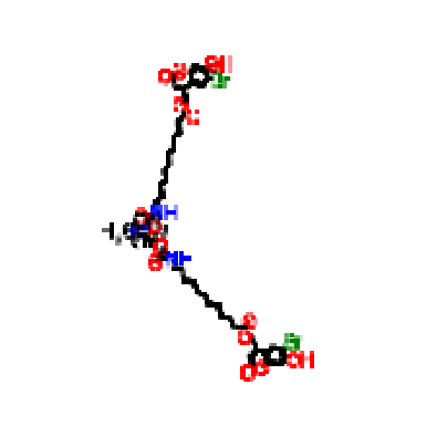 C[N+](C)(C)C(COC(=O)NCCCCCCCCCCCC(=O)OCc1cc(=O)oc2cc(O)c(Br)cc12)OC(=O)NCCCCCCCCCCCC(=O)OCc1cc(=O)oc2cc(O)c(Br)cc12